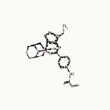 CNC(=O)Nc1ccc(-c2nc(N3C4COCC3CN(C)C4)c3cnn(CC(F)(F)F)c3n2)cc1